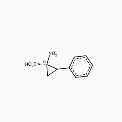 N[C@]1(C(=O)O)CC1c1ccccc1